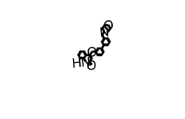 O=c1cc(Oc2cccc(-c3cccc(CN4CCOCC4)c3)c2)c2ccccc2[nH]1